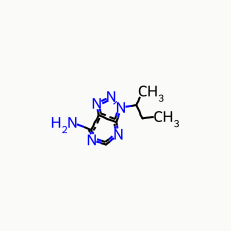 CCC(C)n1nnc2c(N)ncnc21